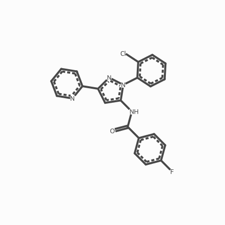 O=C(Nc1cc(-c2ccccn2)nn1-c1ccccc1Cl)c1ccc(F)cc1